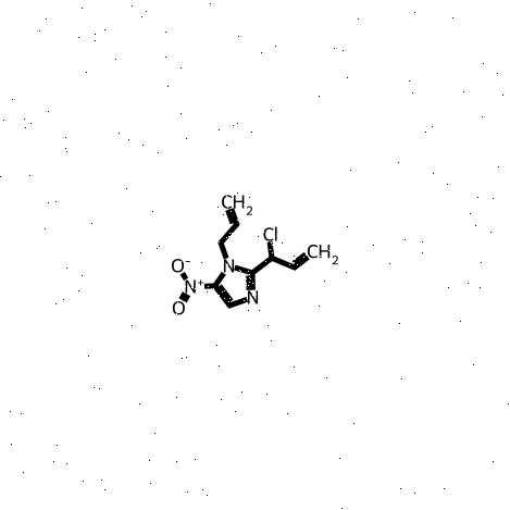 C=CCn1c([N+](=O)[O-])cnc1C(Cl)C=C